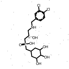 O=P(O)(CC1CC(O)C(O)C(O)C1)C[C@@H](O)CNCc1ccc(Cl)c(Cl)c1